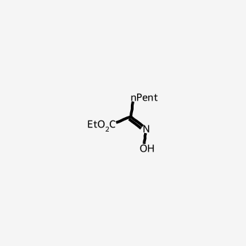 CCCCCC(=NO)C(=O)OCC